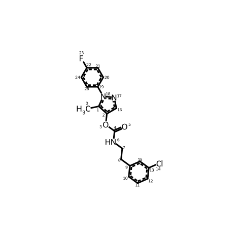 Cc1c(OC(=O)NCCc2cccc(Cl)c2)cnn1-c1ccc(F)cc1